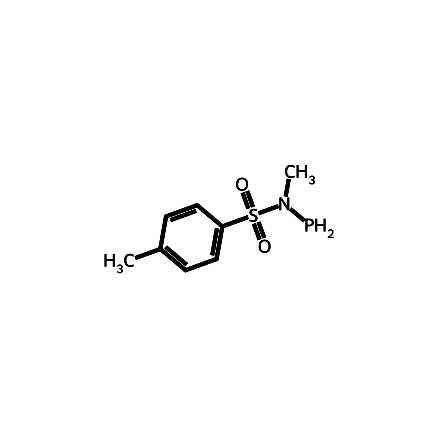 Cc1ccc(S(=O)(=O)N(C)P)cc1